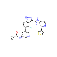 O=C(Nc1cncc(-c2ccc3[nH]nc(-c4nc5c(-c6ccsc6)nccc5[nH]4)c3c2F)c1)C1CC1